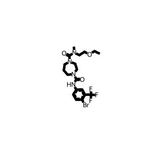 CCOCCN(C)C(=O)N1CCCN(C(=O)Nc2ccc(Br)c(C(F)(F)F)c2)CC1